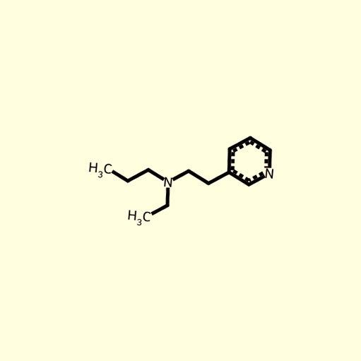 CCCN(CC)CCc1cccnc1